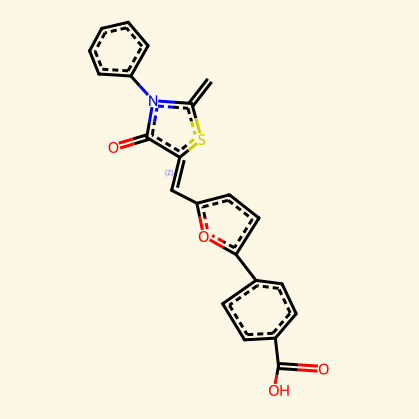 C=c1s/c(=C\c2ccc(-c3ccc(C(=O)O)cc3)o2)c(=O)n1-c1ccccc1